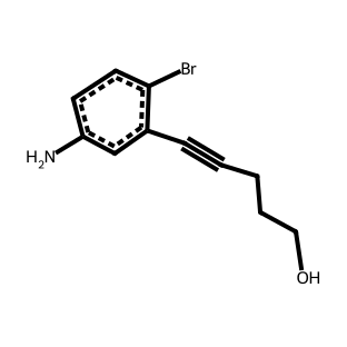 Nc1ccc(Br)c(C#CCCCO)c1